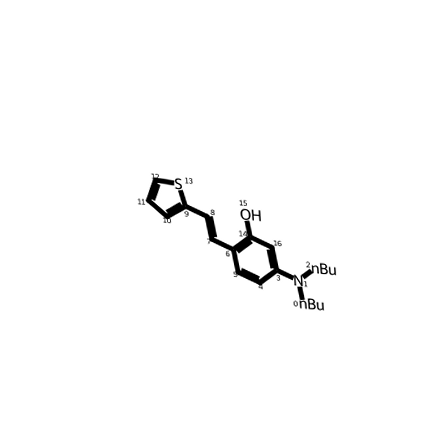 CCCCN(CCCC)c1ccc(/C=C/c2cccs2)c(O)c1